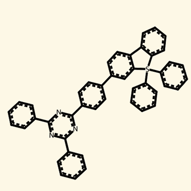 c1ccc(-c2nc(-c3ccccc3)nc(-c3ccc(-c4ccc5c(c4)S(c4ccccc4)(c4ccccc4)c4ccccc4-5)cc3)n2)cc1